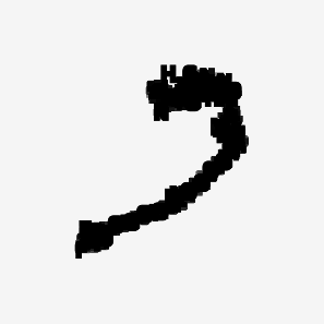 COc1cnc(-n2cnc(C(=O)NCCCN(CCCN3CCN(CCOCCOCCOCCOCc4cn(CCOCCOCCOCCOCCC(=O)Oc5c(F)cc(F)cc5F)nn4)CC3)Cc3c[nH]cn3)n2)c2[nH]cc(C(=O)C(=O)N3CCC(=C(C#N)c4ccccc4)CC3)c12